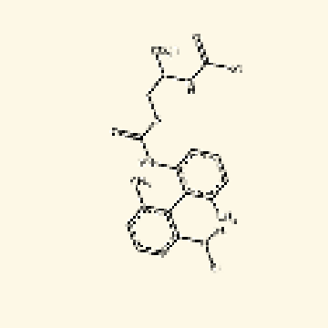 CCN(CC)c1cccc(C)c1-c1c(C)cccc1NC(=O)SCC(NC(=O)C(C)C)C(=O)O